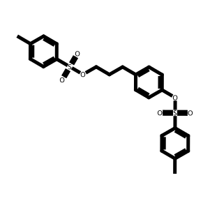 Cc1ccc(S(=O)(=O)OCCCc2ccc(OS(=O)(=O)c3ccc(C)cc3)cc2)cc1